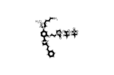 C[n+]1nn(-c2ccc(-c3nc(CCc4ccccc4)cs3)c(OCCN3CCNC3=O)c2)cc1CCCN.O=C(O)C(F)(F)F.O=S(=O)([O-])C(F)(F)F